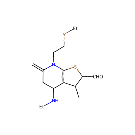 C=C1CC(NCC)C2=C(SC(C=O)C2C)N1CCSCC